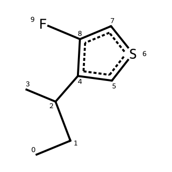 CCC(C)c1cscc1F